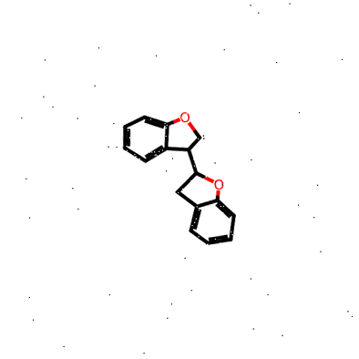 [C]1Oc2ccccc2C1C1Cc2ccccc2O1